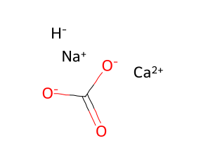 O=C([O-])[O-].[Ca+2].[H-].[Na+]